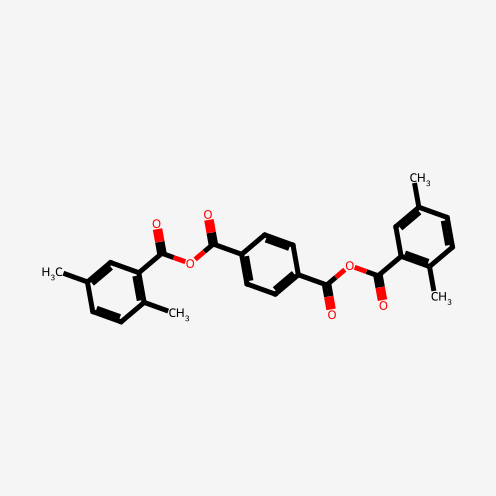 Cc1ccc(C)c(C(=O)OC(=O)c2ccc(C(=O)OC(=O)c3cc(C)ccc3C)cc2)c1